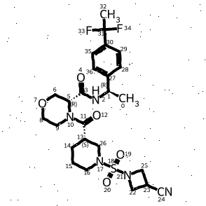 C[C@@H](NC(=O)[C@H]1COCCN1C(=O)[C@H]1CCCN(S(=O)(=O)N2CC(C#N)C2)C1)c1ccc(C(C)(F)F)cc1